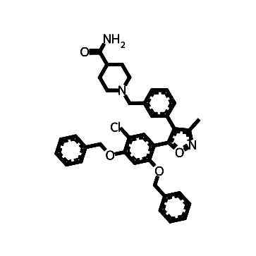 Cc1noc(-c2cc(Cl)c(OCc3ccccc3)cc2OCc2ccccc2)c1-c1cccc(CN2CCC(C(N)=O)CC2)c1